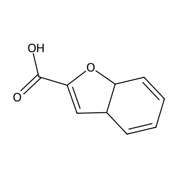 O=C(O)C1=CC2C=CC=CC2O1